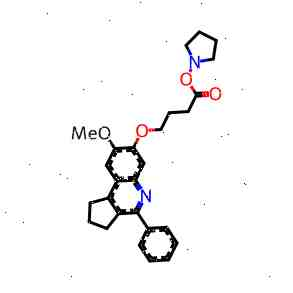 COc1cc2c3c(c(-c4ccccc4)nc2cc1OCCCC(=O)ON1CCCC1)CCC3